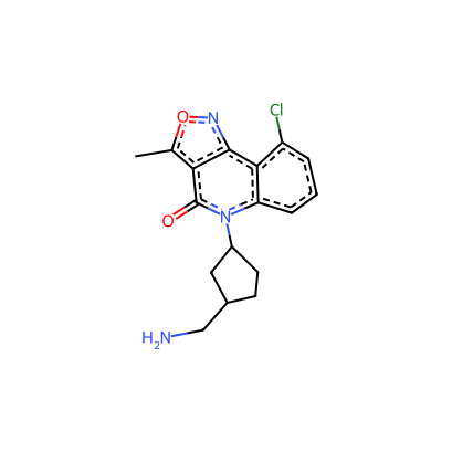 Cc1onc2c1c(=O)n(C1CCC(CN)C1)c1cccc(Cl)c21